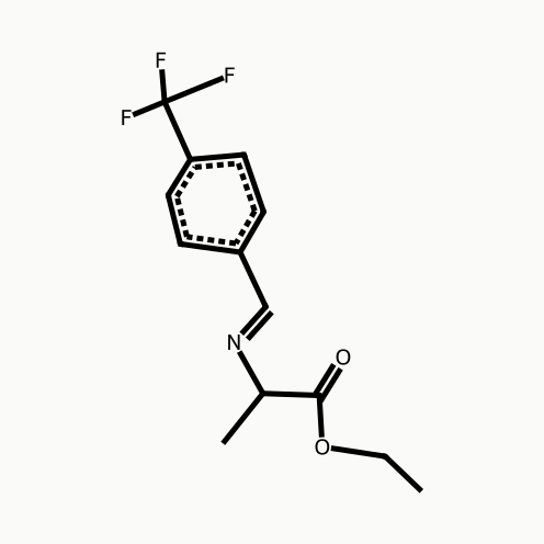 CCOC(=O)C(C)N=Cc1ccc(C(F)(F)F)cc1